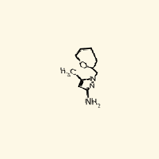 Cc1cc(N)nn1CC1CCCCO1